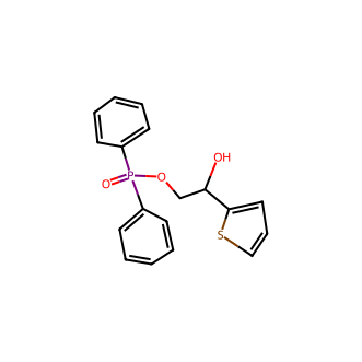 O=P(OCC(O)c1cccs1)(c1ccccc1)c1ccccc1